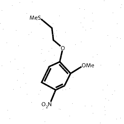 COc1cc([N+](=O)[O-])ccc1OCCSC